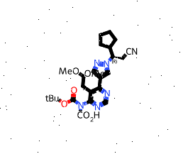 COC(Cc1c(-c2cnn([C@H](CC#N)C3CCCC3)c2)ncnc1N(C(=O)O)C(=O)OC(C)(C)C)OC